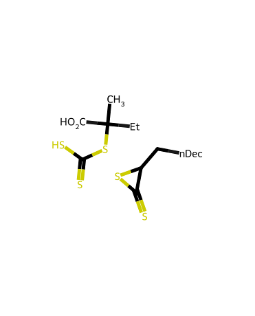 CCC(C)(SC(=S)S)C(=O)O.CCCCCCCCCCCC1SC1=S